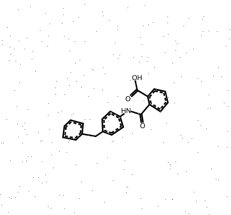 O=C(O)c1ccccc1C(=O)Nc1ccc(Cc2ccccc2)cc1